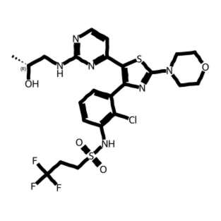 C[C@@H](O)CNc1nccc(-c2sc(N3CCOCC3)nc2-c2cccc(NS(=O)(=O)CCC(F)(F)F)c2Cl)n1